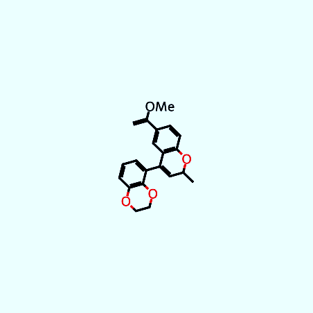 C=C(OC)c1ccc2c(c1)C(c1cccc3c1OCCO3)=CC(C)O2